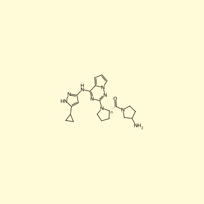 NC1CCN(C(=O)[C@@H]2CCCN2c2nc(Nc3cc(C4CC4)[nH]n3)c3cccn3n2)C1